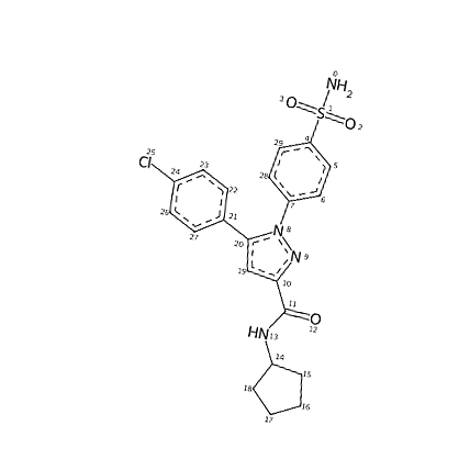 NS(=O)(=O)c1ccc(-n2nc(C(=O)NC3CCCC3)cc2-c2ccc(Cl)cc2)cc1